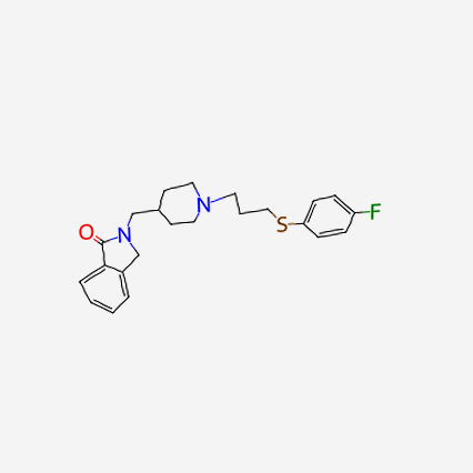 O=C1c2ccccc2CN1CC1CCN(CCCSc2ccc(F)cc2)CC1